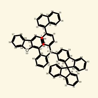 c1ccc(N(c2ccc(-c3cccc4ccccc34)cc2)c2ccc3c(c2)C2(c4ccccc4-c4ccccc42)c2ccccc2-3)c(-c2cccc3c2oc2ccccc23)c1